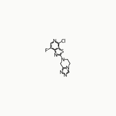 Fc1cnc(Cl)c2sc(N3CCn4cnnc4C3)nc12